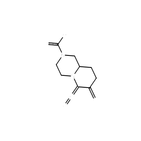 C=C1CCC2CN(C(=O)O)CCN2C1=C=O